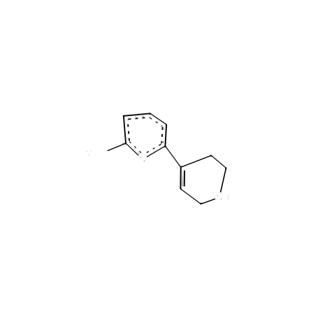 COc1cccc(C2=CCNCC2)n1.Cl